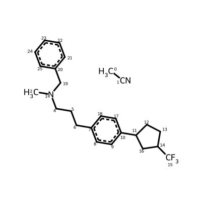 CC#N.CN(CCCc1ccc(C2CCC(C(F)(F)F)C2)cc1)Cc1ccccc1